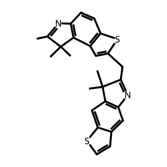 CC1=Nc2ccc3sc(CC4=Nc5cc6ccsc6cc5C4(C)C)cc3c2C1(C)C